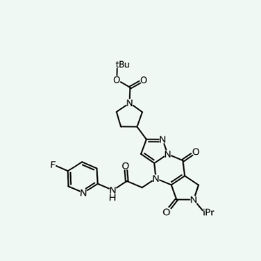 CC(C)N1Cc2c(n(CC(=O)Nc3ccc(F)cn3)c3cc(C4CCN(C(=O)OC(C)(C)C)C4)nn3c2=O)C1=O